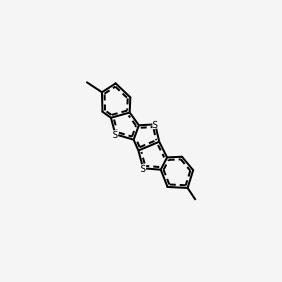 Cc1ccc2c(c1)sc1c2sc2c3ccc(C)cc3sc21